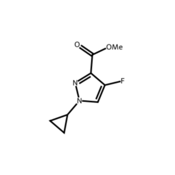 COC(=O)c1nn(C2CC2)cc1F